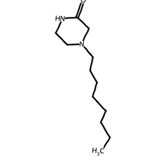 CCCCCCCCN1CCNC(=O)C1